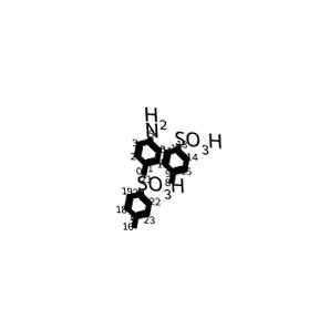 Cc1ccc(N)cc1.Cc1ccc(S(=O)(=O)O)cc1.Cc1ccc(S(=O)(=O)O)cc1